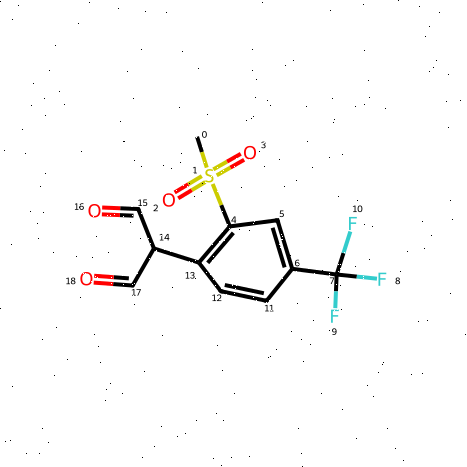 CS(=O)(=O)c1cc(C(F)(F)F)ccc1C(C=O)C=O